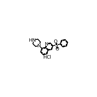 Cl.O=S(=O)(c1ccccc1)c1cnc2c(N3CCNCC3)cccc2c1